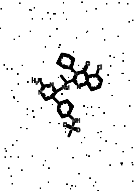 CC(Nc1nc(N)ncc1-c1ccc(NS(C)(=O)=O)cc1)c1nc2cccc(Cl)c2c(=O)n1-c1ccccc1